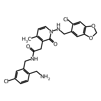 Cc1ccn(NCc2cc3c(cc2Cl)OCO3)c(=O)c1CC(=O)NCc1cc(Cl)ccc1CN